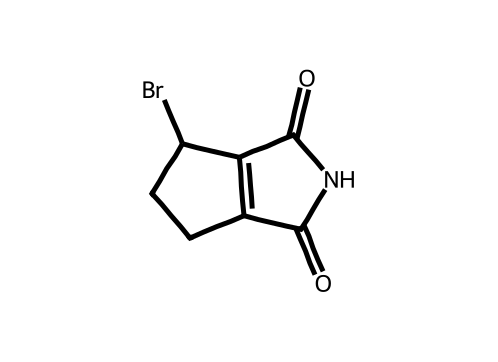 O=C1NC(=O)C2=C1CCC2Br